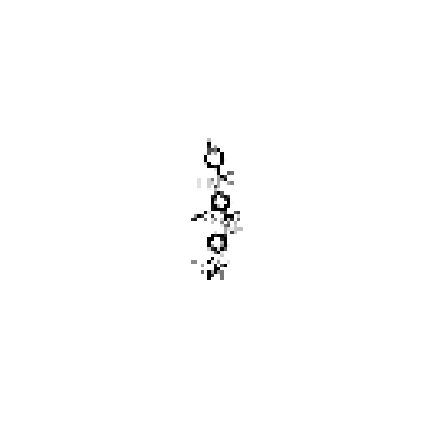 CCOc1cc(NC(=O)C2CCN(C)CC2)ccc1S(=O)(=O)Nc1cccc(OC(F)(F)P)c1